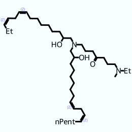 CC/C=C\C/C=C\CCCCCCC(O)CN(CCCC(=O)CCCN(C)CC)CC(O)CCCCCC/C=C\C/C=C\CCCCC